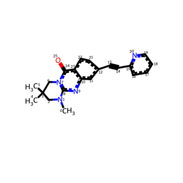 CN1CC(C)(C)Cn2c1nc1cc(C#Cc3ccccn3)ccc1c2=O